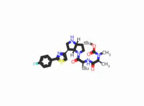 C[C@@H](C(=O)N[C@H](C(=O)N1CC[C@H]2NC[C@H](c3csc(-c4ccc(F)cc4)n3)[C@H]21)C(C)(C)C)N(C)C(=O)OC(C)(C)C